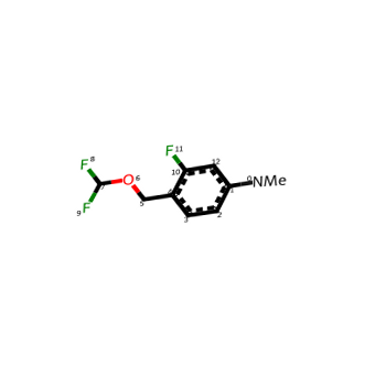 CNc1ccc(COC(F)F)c(F)c1